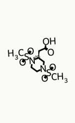 CS(=O)(=O)N1CCN(S(C)(=O)=O)[C@@H](CC(=O)O)C1